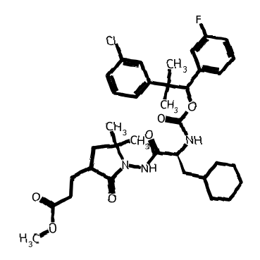 COC(=O)CCC1CC(C)(C)N(NC(=O)[C@H](CC2CCCCC2)NC(=O)OC(c2cccc(F)c2)C(C)(C)c2cccc(Cl)c2)C1=O